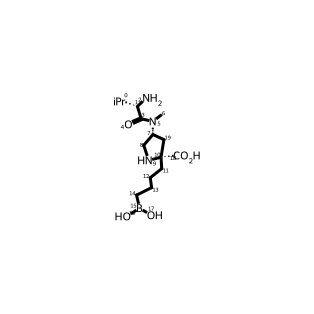 CC(C)[C@H](N)C(=O)N(C)[C@H]1CN[C@@](CCCCB(O)O)(C(=O)O)C1